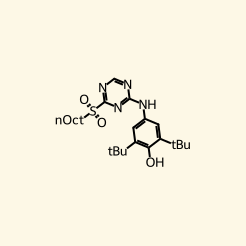 CCCCCCCCS(=O)(=O)c1ncnc(Nc2cc(C(C)(C)C)c(O)c(C(C)(C)C)c2)n1